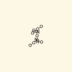 c1ccc(-c2ccc(-c3nc(-c4ccccc4)cc(-c4ccc(-c5nc6cc(-c7ccccc7)ccc6c6oc7ccccc7c56)cc4)n3)cc2)cc1